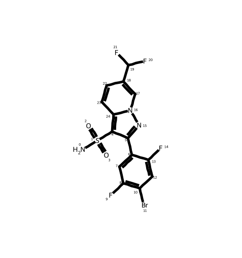 NS(=O)(=O)c1c(-c2cc(F)c(Br)cc2F)nn2cc(C(F)F)ccc12